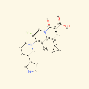 Cc1c(N2CCCC(C3CCNC3)C2)c(F)cn2c(=O)c(C(=O)O)cc(C3CC3)c12